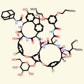 CNCCOc1cc(OCCNC)cc(C(=O)NC(=O)C[C@@H]2NC(=O)[C@H](NC(=O)[C@@H](CC(C)C)NC)[C@H](O)c3ccc(c(Cl)c3)Oc3cc4cc(c3O[C@@H]3O[C@H](CO)[C@@H](O)[C@H](O)[C@H]3O)Oc3ccc(cc3Cl)[C@@H](O)[C@@H]3NC(=O)[C@H](NC(=O)[C@@H]4NC2=O)c2ccc4c(c2)-c2c(cc(O)cc2C4(O)O)[C@@H](C(=O)NC2C4CC5CC(C4)CC2C5)NC3=O)c1